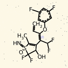 C=C/C(Oc1cc(F)cc(F)c1)=C(\C1=C(C)S(=N)(=O)C(F)(F)C1O)C(F)F